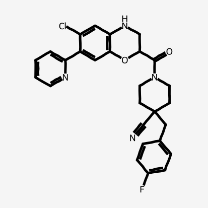 N#CC1(Cc2ccc(F)cc2)CCN(C(=O)C2CNc3cc(Cl)c(-c4ccccn4)cc3O2)CC1